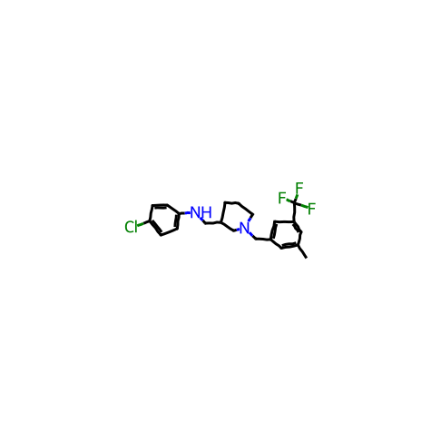 Cc1cc(CN2CCCC(CNc3ccc(Cl)cc3)C2)cc(C(F)(F)F)c1